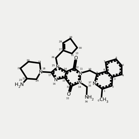 Cc1cc2ccccc2c(Cn2c(=O)c3c(nc(N4CCCC(N)C4)n3CC3=CCCC3)c(=O)n2CN)n1